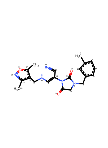 Cc1cccc(CN2CC(=O)N(/C(C=N)=C/NCc3c(C)noc3C)C2=O)c1